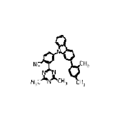 Cc1ccc(-c2ccc3c4ccccc4n(-c4ccc(C#N)c(-c5nc(C)nc(C)n5)c4)c3c2)c(C)c1